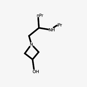 CCCC(CN1CC(O)C1)NC(C)C